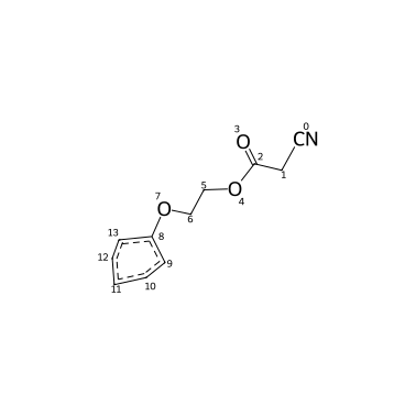 N#CCC(=O)OCCOc1ccccc1